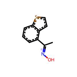 C/C(=N\O)c1cccc2sccc12